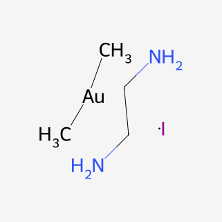 NCCN.[CH3][Au][CH3].[I]